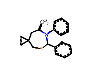 C=C1CC2(CC2)CSC(c2ccccc2)N1c1ccccc1